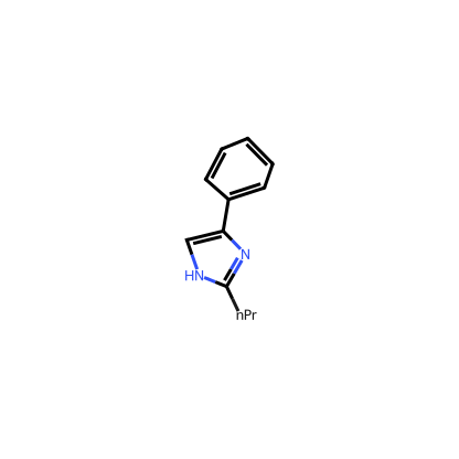 [CH2]CCc1nc(-c2ccccc2)c[nH]1